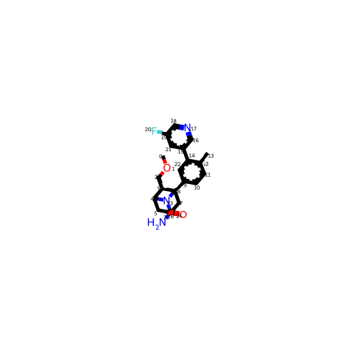 COCC1C2CCCC1(c1ccc(C)c(-c3cncc(F)c3)c1)N2C(N)=O